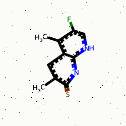 Cc1c(F)c[nH]c2nc(=S)c(C)cc1-2